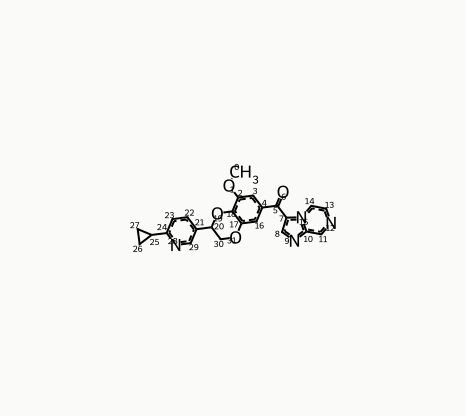 COc1cc(C(=O)c2cnc3cnccn23)cc2c1OC(c1ccc(C3CC3)nc1)CO2